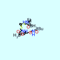 BBC(=O)C(CSC1CCC1SCC(NC(C)(C)CC)C(=O)BB)NC(=O)C(C)(C)CCOCNCC(=O)C(C)(C)C